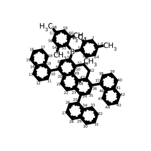 Cc1cc(C)c(B(c2cc(-c3cccc4ccccc34)c3ccc4c(-c5cccc6ccccc56)cc(-c5cccc6ccccc56)c5c4c3c2CC5)c2c(C)cc(C)cc2C)c(C)c1